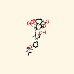 COC(=O)C[C@H]1[C@H](CC2=C(C)[C@@H](c3cccc(O[Si](C)(C)C(C)(C)C)c3)C[C@@H]2O)C[C@@H]2OC(=O)[C@]3(C)C=CC(=O)[C@@]1(C)[C@@H]23